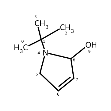 CC(C)(C)N1CC=CC1O